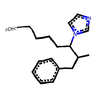 CCCCCCCCCCCCCCC(C(C)Cc1ccccc1)n1ccnc1